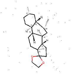 C[C@H]1CC[C@@H]2[C@H]3CC[C@@]4(C)[C@@H](CCC45OCCO5)[C@@H]3C[C@@H](C)[C@H]2C1